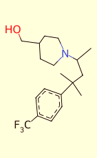 CC(CC(C)(C)c1ccc(C(F)(F)F)cc1)N1CCC(CO)CC1